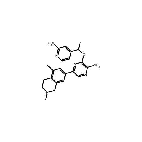 Cc1cc(-c2cnc(N)c(OC(C)c3ccnc(N)c3)n2)cc2c1CCN(C)C2